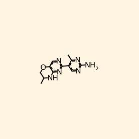 Cc1nc(N)ncc1-c1ncc2c(n1)NC(C)CO2